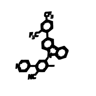 Cc1cc(C#N)c(-c2ccncc2)cc1-n1c2ccccc2c2cc(-c3ccc(C(F)(F)F)cc3C(F)(F)F)ccc21